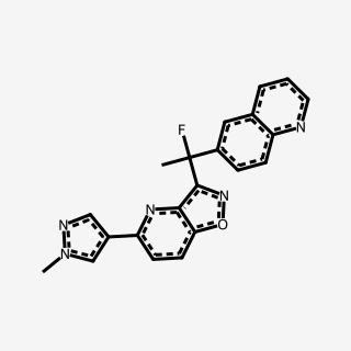 Cn1cc(-c2ccc3onc(C(C)(F)c4ccc5ncccc5c4)c3n2)cn1